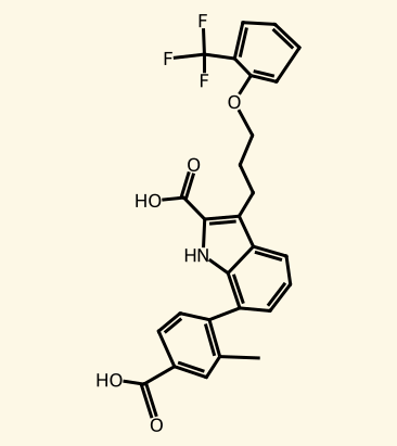 Cc1cc(C(=O)O)ccc1-c1cccc2c(CCCOc3ccccc3C(F)(F)F)c(C(=O)O)[nH]c12